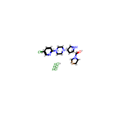 Cl.Cl.Cl.O=C([C@@H]1C[C@H](N2CCN(c3ccc(Cl)cn3)CC2)CN1)N1CCSC1